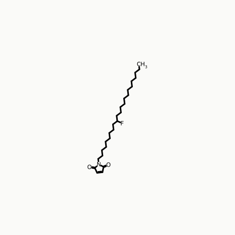 CCCCCCCCCCCCCC(F)CCCCCCCCCN1C(=O)C=CC1=O